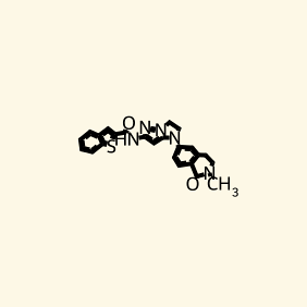 CN1CCc2cc(N3CCn4nc(NC(=O)c5cc6ccccc6s5)cc43)ccc2C1=O